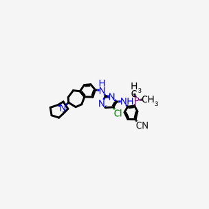 CP(C)c1cc(C#N)ccc1Nc1nc(Nc2ccc3c(c2)CCC(N2C4CCCC2CC4)CC3)ncc1Cl